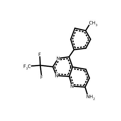 Cc1ccc(-c2nc(C(F)(F)C(F)(F)F)nc3nc(N)ccc23)cc1